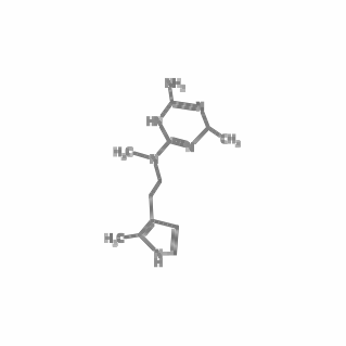 Cc1[nH]ccc1CCN(C)C1=NC(C)N=C(N)N1